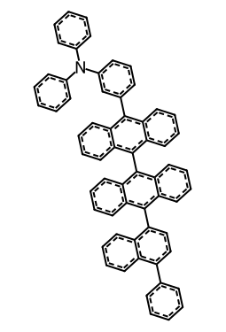 c1ccc(-c2ccc(-c3c4ccccc4c(-c4c5ccccc5c(-c5cccc(N(c6ccccc6)c6ccccc6)c5)c5ccccc45)c4ccccc34)c3ccccc23)cc1